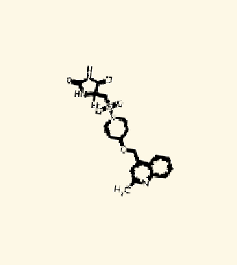 CCC1(CS(=O)(=O)N2CCC(OCc3cc(C)nc4ccccc34)CC2)NC(=O)NC1=O